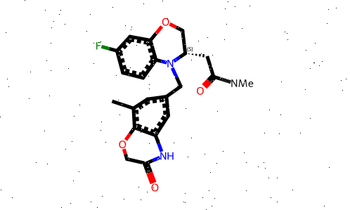 CNC(=O)C[C@H]1COc2cc(F)ccc2N1Cc1cc(C)c2c(c1)NC(=O)CO2